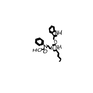 CCCCC1CN(CCN(C(=O)O)c2ccccc2)CC(OCc2c[nH]c3ccccc23)N1